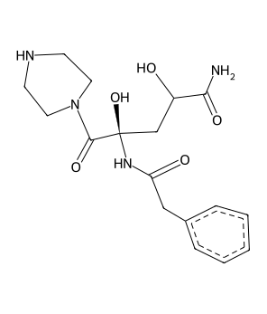 NC(=O)C(O)C[C@](O)(NC(=O)Cc1ccccc1)C(=O)N1CCNCC1